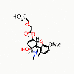 COc1ccc(C)c2c1O[C@H]1C(OC(=O)COCC(=O)O)=CC[C@@]3(O)[C@@H](C)N(C)CC[C@]213